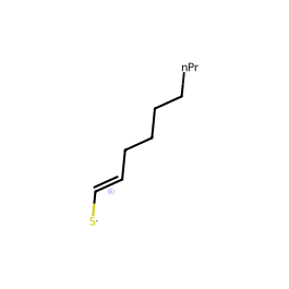 CCCCCCC/C=C/[S]